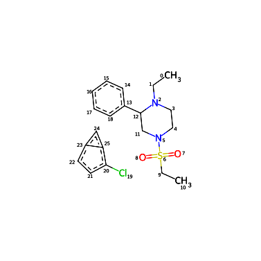 CCN1CCN(S(=O)(=O)CC)CC1c1ccccc1.Clc1ccc2cc1-2